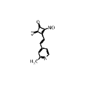 Cc1cc(/C=C/c2c(N=O)c(=O)c2=O)ccn1